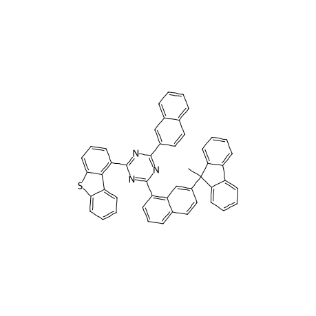 CC1(c2ccc3cccc(-c4nc(-c5ccc6ccccc6c5)nc(-c5cccc6sc7ccccc7c56)n4)c3c2)c2ccccc2-c2ccccc21